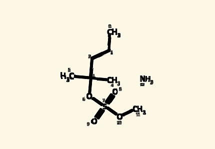 CCCC(C)(C)OS(=O)(=O)OC.N